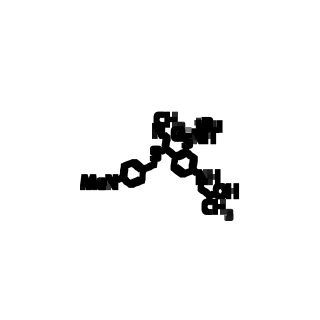 C=N/C=C(\SCc1ccc(NC)cc1)c1ccc(NCC(C)O)cc1[S+]([O-])NC(C)(C)C